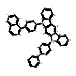 c1ccc(-c2ccc(-n3c4ccccc4c4cc5c6ccccc6n(-c6ccc(-c7cccc8ccccc78)cc6)c5cc43)cc2)cc1